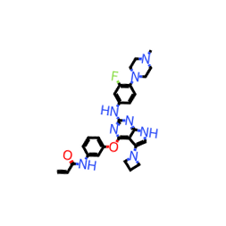 C=CC(=O)Nc1cccc(Oc2nc(Nc3ccc(N4CCN(C)CC4)c(F)c3)nc3[nH]cc(N4CCC4)c23)c1